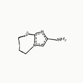 Nc1cn2c(n1)OCCC2